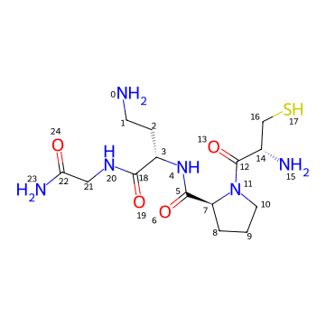 NCC[C@H](NC(=O)[C@@H]1CCCN1C(=O)[C@@H](N)CS)C(=O)NCC(N)=O